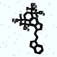 FC(F)(F)C(F)(F)C1(C(F)(F)C(F)(F)F)CCC(C(F)(F)C(F)(F)F)(C(F)(F)C(F)(F)F)c2cc3c(cc21)C=CC3CCC1C=Cc2ccccc21